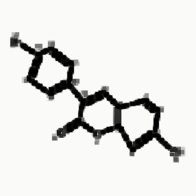 O=c1oc2cc(O)ccc2cc1-c1ccc(Br)cc1